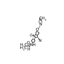 CC(C)NC(=O)Nc1ccc(-c2c(C#N)c3ccc(OCCCN4CCN(C)CC4)cc3n2C2CCC2)cc1